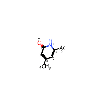 CC(=O)c1cc(C)cc(=O)[nH]1